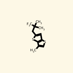 Cc1csc2cc(CC(C)(C)C(F)(F)F)sc12